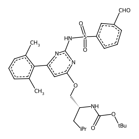 Cc1cccc(C)c1-c1cc(OC[C@@H](CC(C)C)NC(=O)OC(C)(C)C)nc(NS(=O)(=O)c2cccc(C=O)c2)n1